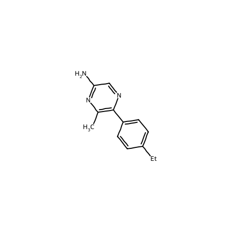 CCc1ccc(-c2ncc(N)nc2C)cc1